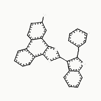 Nc1ccc2c3ccccc3c3nc(-c4c(-c5ccccc5)[nH]c5ccccc45)[nH]c3c2c1